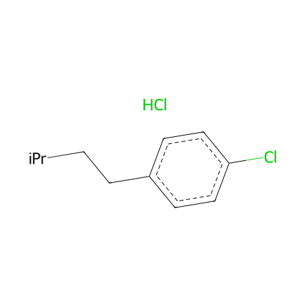 CC(C)CCc1ccc(Cl)cc1.Cl